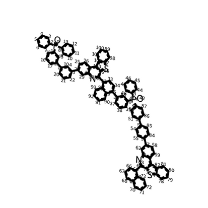 O=P(c1ccccc1)(c1ccccc1)c1cccc(-c2cccc(-c3ccc4c(c3)nc(-c3ccc(-c5cccc(P(=O)(c6ccccc6)c6ccc(-c7ccc(-c8ccc9c(c8)nc(-c8cccc%10ccccc8%10)c8sc%10ccccc%10c89)cc7)cc6)c5)c5ccccc35)c3sc5ccccc5c34)c2)c1